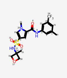 Cc1cc(NC(=O)c2cc(S(=O)(=O)NC3(C)COC3)cn2C)cc(C(F)(F)F)c1